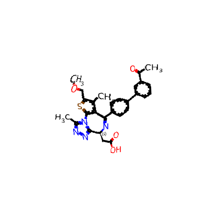 COCc1sc2c(c1C)C(c1ccc(-c3cccc(C(C)=O)c3)cc1)=N[C@@H](CC(=O)O)c1nnc(C)n1-2